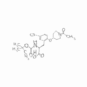 CC(=O)N1CCC(Oc2ccc(Cl)cc2C[C@H](NC(=O)OC(C)(C)C)C(=O)O)CC1